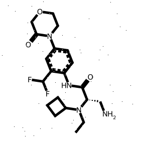 CCN(C1CCC1)[C@@H](CN)C(=O)Nc1ccc(N2CCOCC2=O)cc1C(F)F